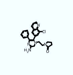 NC1=NC(c2ccccc2)=C(c2cc(Cl)c3ncccc3c2)N(CCN2CCCC2=O)C1